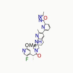 COc1cc([C@@H](C)C(=O)N2CC[C@@]3(CCc4cc(-c5cccc(-c6nnc(C)o6)n5)c(C)nc4N3)C2)c(F)cn1